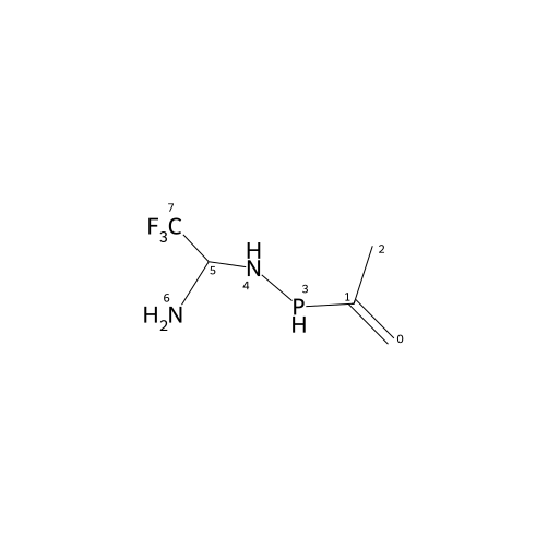 C=C(C)PNC(N)C(F)(F)F